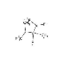 CC(C)C(C)(F)[C](F)F